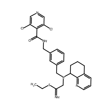 CCSC(=N)CN(Cc1cccc(CNC(=O)c2c(Cl)cncc2Cl)c1)C1CCCc2cccnc21